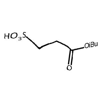 CC(C)COC(=O)CCS(=O)(=O)O